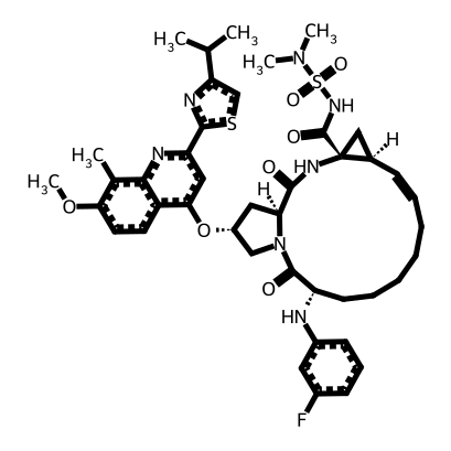 COc1ccc2c(O[C@@H]3C[C@H]4C(=O)N[C@]5(C(=O)NS(=O)(=O)N(C)C)C[C@H]5/C=C\CCCCC[C@H](Nc5cccc(F)c5)C(=O)N4C3)cc(-c3nc(C(C)C)cs3)nc2c1C